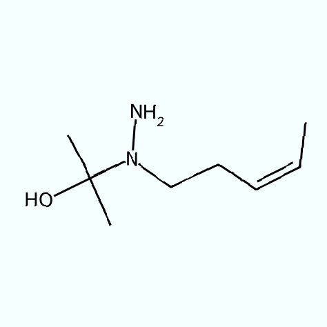 C/C=C\CCN(N)C(C)(C)O